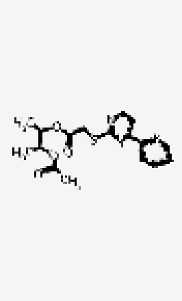 CC(=O)OC(C)C(C)OC(=O)CSc1nccc(-c2ccccn2)n1